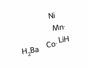 [BaH2].[Co].[LiH].[Mn].[Ni]